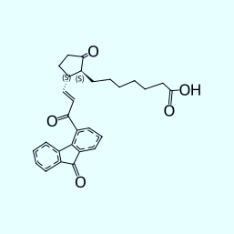 O=C(O)CCCCCC[C@@H]1C(=O)CC[C@H]1C=CC(=O)c1cccc2c1-c1ccccc1C2=O